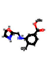 CC(C)(C)OC(=O)c1ccc([N+](=O)[O-])c(NCc2ncco2)c1